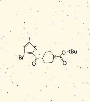 Cc1cc(Br)c(C(=O)C2CCN(C(=O)OC(C)(C)C)CC2)s1